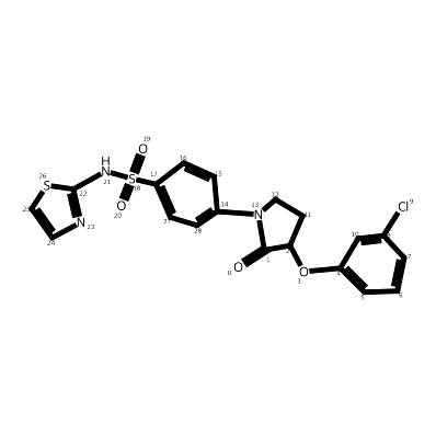 O=C1C(Oc2cccc(Cl)c2)CCN1c1ccc(S(=O)(=O)Nc2nccs2)cc1